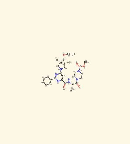 CCCCOC(=O)N1CCN(C(=O)[C@@H](NC(=O)c2cc(N3C[C@@H]4[C@H](C3)[C@H]4OC(=O)O)nc(-c3ccccc3)n2)C(C)(C)C)CC1